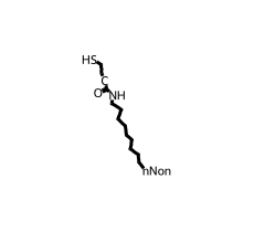 CCCCCCCCCCCCCCCCCCNC(=O)CCCS